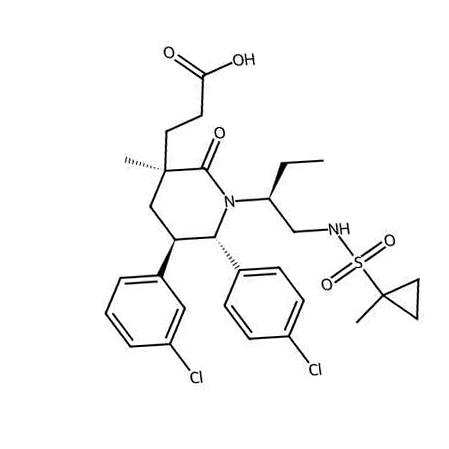 CC[C@@H](CNS(=O)(=O)C1(C)CC1)N1C(=O)[C@](C)(CCC(=O)O)C[C@H](c2cccc(Cl)c2)[C@H]1c1ccc(Cl)cc1